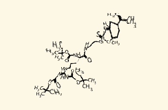 C=C(C)[C@H]1CC[C@@]2(C)O[P@](=S)(OCCNC(=O)[C@H](CCCN/C(=N/C(=O)OC(C)(C)C)NC(=O)OC(C)(C)C)NC(=O)OC(C)(C)C)S[C@@H]2C1